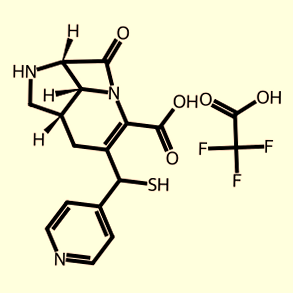 O=C(O)C(F)(F)F.O=C(O)C1=C(C(S)c2ccncc2)C[C@@H]2CN[C@@H]3C(=O)N1[C@H]23